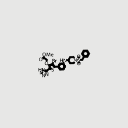 COC(=O)COc1c(-c2nnn[nH]2)sc(-c2cccc(NC3CCN(S(=O)(=O)Cc4ccccc4)CC3)c2)c1Br